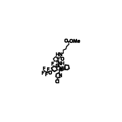 COC(=O)CCCCCNC(=O)[C@H]1CCC[C@H]1NC(=O)N[C@@](Cc1ccccc1)(c1cc(F)cc(OC(F)(F)C(F)F)c1)c1ccc(Cl)cn1